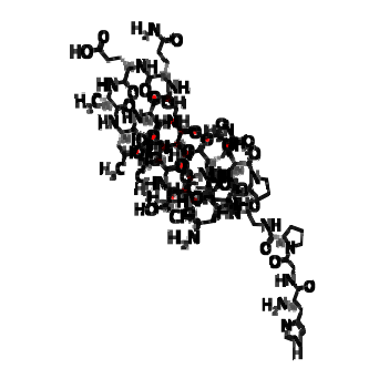 CC(C)C[C@H](NC(=O)CNC(=O)[C@@H]1CCCN1C(=O)CNC(=O)[C@@H](N)Cc1c[nH]cn1)C(=O)N[C@@H](CC(N)=O)C(=O)N1CCC[C@H]1C(=O)N[C@@H](CC(N)=O)C(=O)N[C@@H](C)C(=O)N[C@@H](CO)C(=O)N[C@H](C(=O)NCC(=O)N[C@@H](CCC(N)=O)C(=O)N[C@@H](CCC(=O)O)C(=O)N[C@@H](C)C(=O)N[C@@H](CC(C)C)C(=O)N[C@@H](CO)C(=O)N[C@@H](CCC(N)=O)C(=O)N[C@H](C(=O)N[C@H](C(=O)O)[C@@H](C)O)[C@@H](C)O)[C@@H](C)O